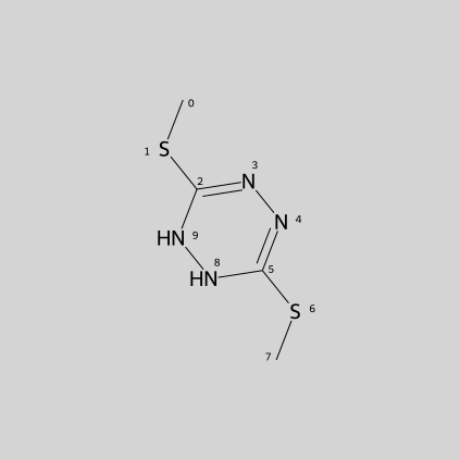 CSC1=NN=C(SC)NN1